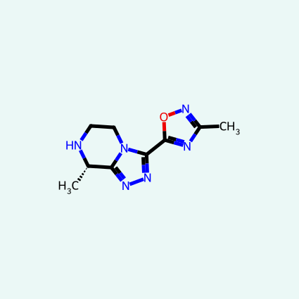 Cc1noc(-c2nnc3n2CCN[C@H]3C)n1